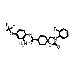 Nc1cc(OC(F)(F)F)ccc1NC(=O)C1CCC2(CC1)CN(c1ccccc1F)C(=O)O2